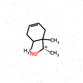 CC1CC=CCC1(C)[C@H](C)O